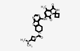 Cc1cc(Nc2ncnc3sc4c(c23)CC[C@H](C(=O)N2CC(N(C)C)C2)C4)c(=O)n2c1C(=O)NC21CCC1